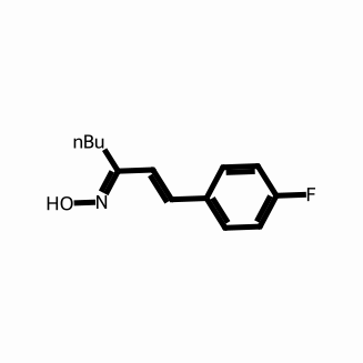 CCCCC(/C=C/c1ccc(F)cc1)=NO